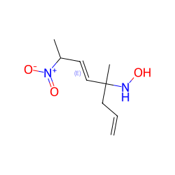 C=CCC(C)(/C=C/C(C)[N+](=O)[O-])NO